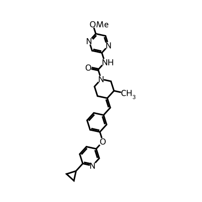 COc1cnc(NC(=O)N2CCC(=Cc3cccc(Oc4ccc(C5CC5)nc4)c3)C(C)C2)cn1